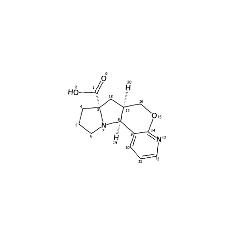 O=C(O)[C@@]12CCCN1[C@@H]1c3cccnc3OC[C@@H]1C2